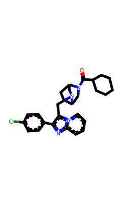 O=C(C1CCCCC1)N1CC2CCC1CN2Cc1c(-c2ccc(Cl)cc2)nc2ccccn12